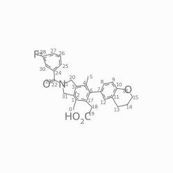 Cc1c2c(c(C)c(-c3ccc4c(c3)CCCO4)c1CC(=O)O)CN(C(=O)c1cccc(F)c1)C2